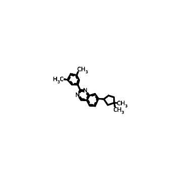 Cc1cc(C)cc(-c2ncc3ccc(C4CCC(C)(C)C4)cc3n2)c1